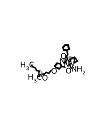 CCCCCN(C)C(=O)CCCOc1ccc2c(c1)CN(C(C(N)=O)N1CCCCC1)C(NC(=O)Cc1ccccc1)=N2